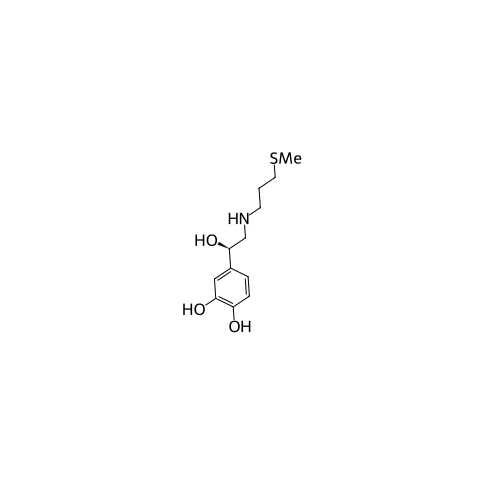 CSCCCNC[C@H](O)c1ccc(O)c(O)c1